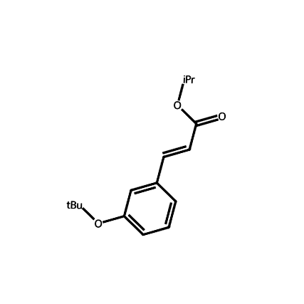 CC(C)OC(=O)C=Cc1cccc(OC(C)(C)C)c1